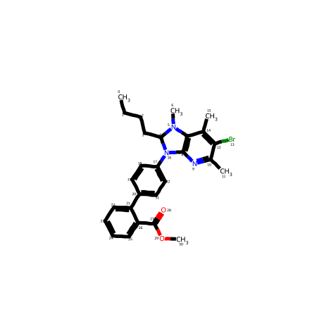 CCCCC1N(C)c2c(nc(C)c(Br)c2C)N1c1ccc(-c2ccccc2C(=O)OC)cc1